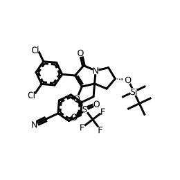 CC(C)(C)[Si](C)(C)O[C@H]1CN2C(=O)C(c3cc(Cl)cc(Cl)c3)=C(OS(=O)(=O)C(F)(F)F)C2(Cc2ccc(C#N)cc2)C1